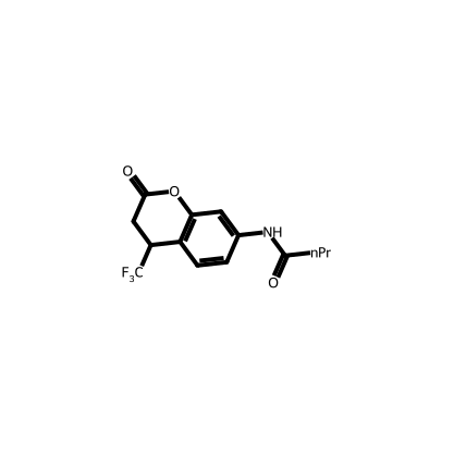 CCCC(=O)Nc1ccc2c(c1)OC(=O)CC2C(F)(F)F